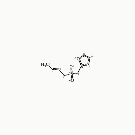 C/C=C/CS(=O)(=O)Cc1ccco1